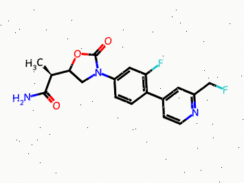 C[C@H](C(N)=O)C1CN(c2ccc(-c3ccnc(CF)c3)c(F)c2)C(=O)O1